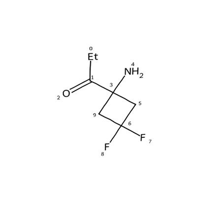 CCC(=O)C1(N)CC(F)(F)C1